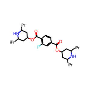 CC(C)C1CC(OC(=O)c2ccc(C(=O)OC3CC(C(C)C)NC(C(C)C)C3)c(F)c2)CC(C(C)C)N1